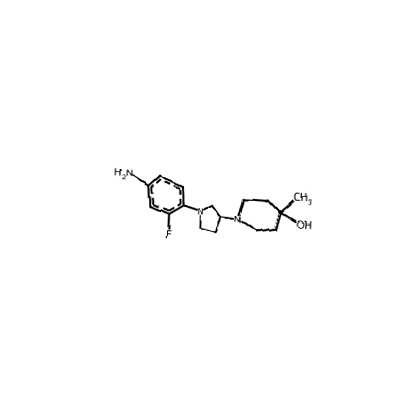 CC1(O)CCN(C2CCN(c3ccc(N)cc3F)C2)CC1